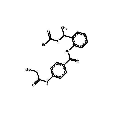 CCC(=O)OC(C)c1ccccc1NC(=O)c1ccc(NC(=O)OC(C)(C)C)cc1